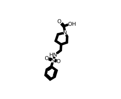 O=C(O)N1CCC(CNS(=O)(=O)c2ccccc2)CC1